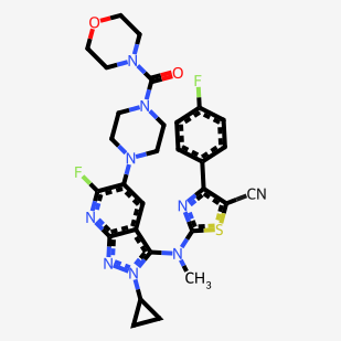 CN(c1nc(-c2ccc(F)cc2)c(C#N)s1)c1c2cc(N3CCN(C(=O)N4CCOCC4)CC3)c(F)nc2nn1C1CC1